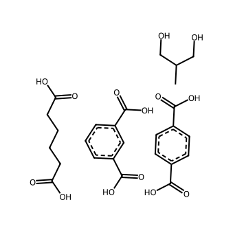 CC(CO)CO.O=C(O)CCCCC(=O)O.O=C(O)c1ccc(C(=O)O)cc1.O=C(O)c1cccc(C(=O)O)c1